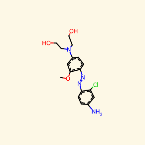 COc1cc(N(CCO)CCO)ccc1N=Nc1ccc(N)cc1Cl